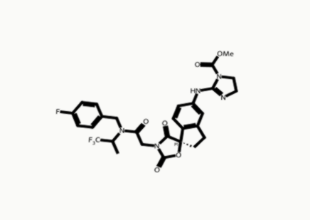 COC(=O)N1CCN=C1Nc1ccc2c(c1)CC[C@@]21OC(=O)N(CC(=O)N(Cc2ccc(F)cc2)C(C)C(F)(F)F)C1=O